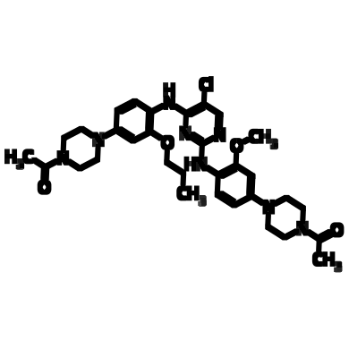 CCCOc1cc(N2CCN(C(C)=O)CC2)ccc1Nc1nc(Nc2ccc(N3CCN(C(C)=O)CC3)cc2OC)ncc1Cl